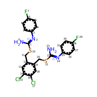 N/C(=N\c1ccc(F)cc1)SCc1cc(Cl)c(Cl)cc1CS/C(N)=N/c1ccc(F)cc1